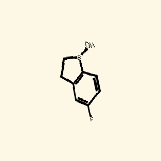 OB1CCc2cc(F)ccc21